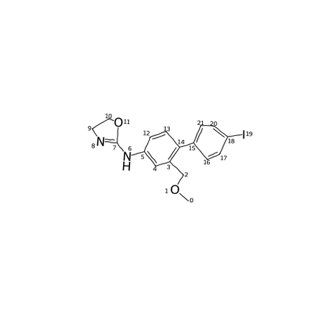 COCc1cc(NC2=NCCO2)ccc1-c1ccc(I)cc1